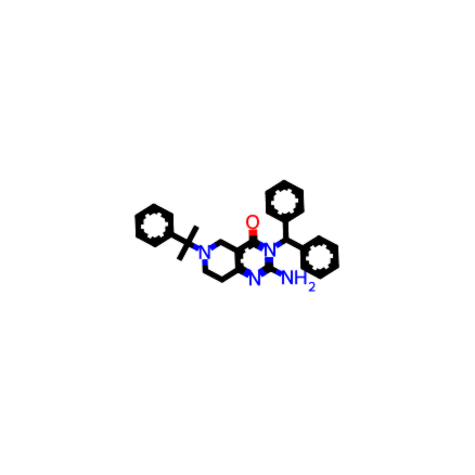 CC(C)(c1ccccc1)N1CCc2nc(N)n(C(c3ccccc3)c3ccccc3)c(=O)c2C1